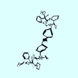 C[C@@](O)(C(=O)N1CCC[C@H]1C(=O)Nc1ccc(C#Cc2ccc(NC(=O)[C@@H]3CCCN3C(=O)[C@@](C)(O)c3ccccc3)cc2)cc1)c1ccccc1